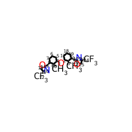 Cc1c(Oc2cccc(-c3nc(C(F)(F)F)co3)c2C)cccc1-c1nc(C(F)(F)F)co1